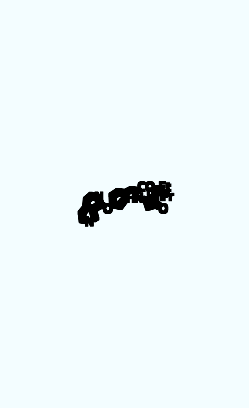 CCCC1(CCC)C(=O)C=C1N[C@@H](Cc1ccc(Oc2nccc3ccncc23)cc1)C(=O)OCC